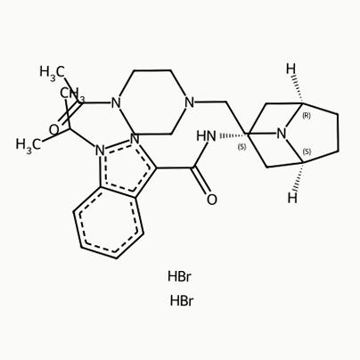 Br.Br.CC(=O)N1CCN(CCN2[C@@H]3CC[C@H]2C[C@H](NC(=O)c2nn(C(C)C)c4ccccc24)C3)CC1